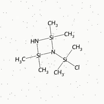 C[Si](C)(Cl)N1[Si](C)(C)N[Si]1(C)C